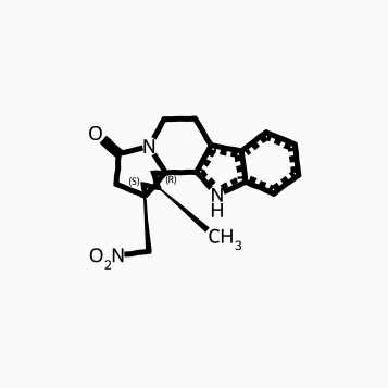 C[C@@H]1CC23c4[nH]c5ccccc5c4CCN2C(=O)CC3[C@H]1C[N+](=O)[O-]